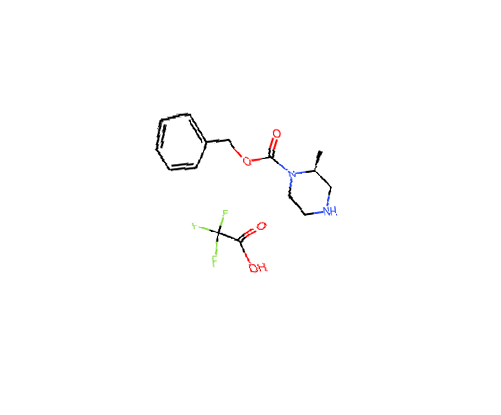 C[C@H]1CNCCN1C(=O)OCc1ccccc1.O=C(O)C(F)(F)F